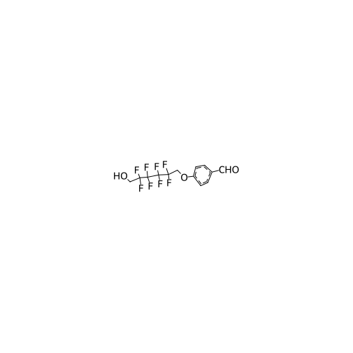 O=Cc1ccc(OCC(F)(F)C(F)(F)C(F)(F)C(F)(F)CO)cc1